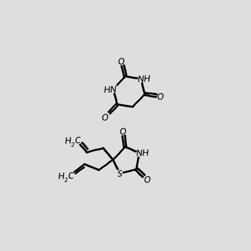 C=CCC1(CC=C)SC(=O)NC1=O.O=C1CC(=O)NC(=O)N1